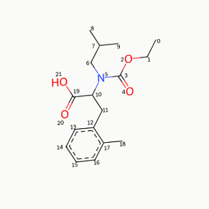 CCOC(=O)N(CC(C)C)C(Cc1ccccc1C)C(=O)O